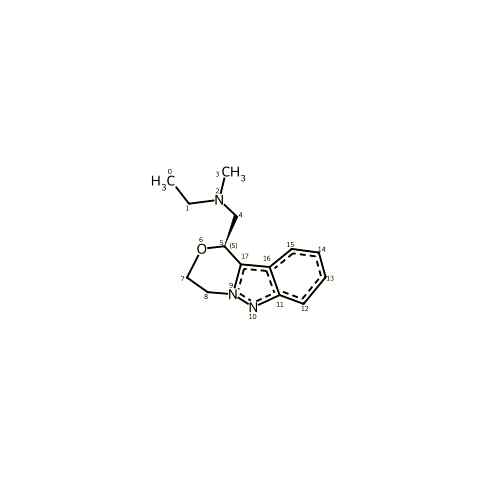 CCN(C)C[C@@H]1OCCn2nc3ccccc3c21